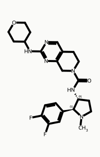 CN1CC[C@@H](NC(=O)N2CCc3cnc(NC4CCOCC4)nc3C2)[C@@H]1c1ccc(F)c(F)c1